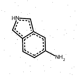 Nc1ccc2c[nH]cc2c1